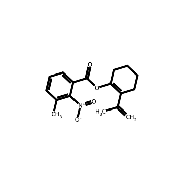 C=C(C)C1=C(OC(=O)c2cccc(C)c2[N+](=O)[O-])CCCC1